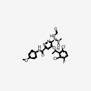 COc1ccc(NC(=O)c2cc(OC(C)c3c(Cl)ccc(F)c3Cl)c(N(BC=O)B(C)O)nn2)cc1